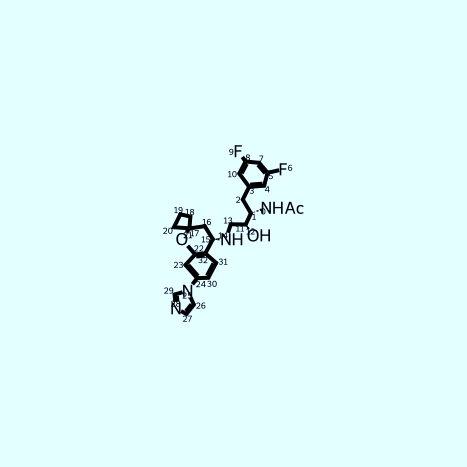 CC(=O)N[C@@H](Cc1cc(F)cc(F)c1)[C@H](O)CN[C@H]1CC2(CCC2)Oc2cc(-n3ccnc3)ccc21